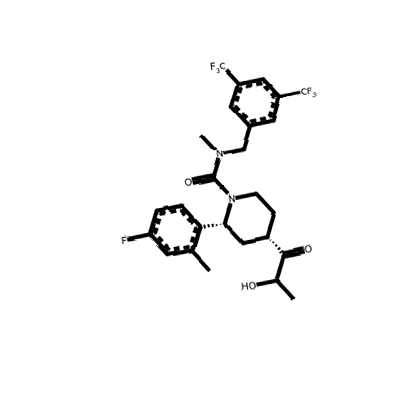 Cc1cc(F)ccc1[C@H]1C[C@@H](C(=O)C(C)O)CCN1C(=O)N(C)Cc1cc(C(F)(F)F)cc(C(F)(F)F)c1